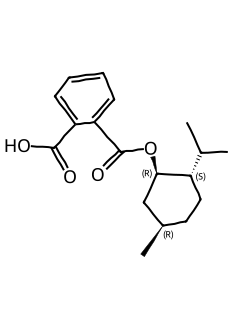 CC(C)[C@@H]1CC[C@@H](C)C[C@H]1OC(=O)c1ccccc1C(=O)O